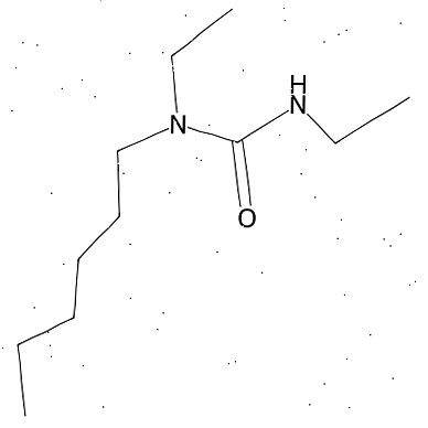 CCCCCCN(CC)C(=O)NCC